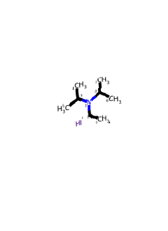 CCN(C(C)C)C(C)C.I